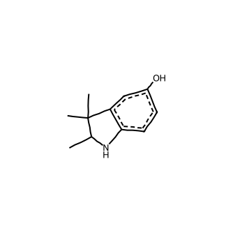 CC1Nc2ccc(O)cc2C1(C)C